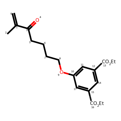 C=C(C)C(=O)CCCCOc1cc(C(=O)OCC)cc(C(=O)OCC)c1